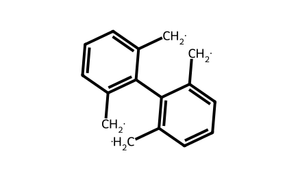 [CH2]c1cccc([CH2])c1-c1c([CH2])cccc1[CH2]